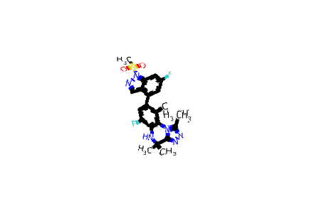 Cc1c(-c2cc(F)cc3c2cnn3S(C)(=O)=O)cc(F)c2c1-n1c(C)nnc1C(C)(C)N2